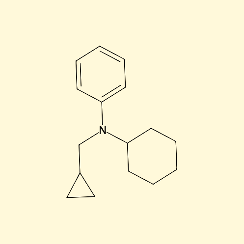 c1ccc(N(CC2CC2)C2CCCCC2)cc1